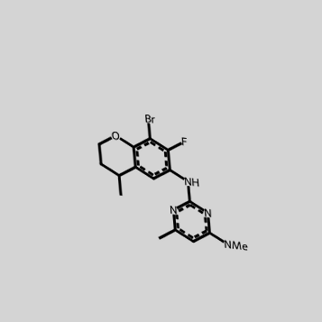 CNc1cc(C)nc(Nc2cc3c(c(Br)c2F)OCCC3C)n1